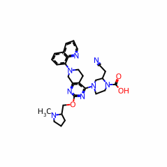 CN1CCCC1COc1nc2c(c(N3CCN(C(=O)O)C(CC#N)C3)n1)CCN(c1cccc3cccnc13)C2